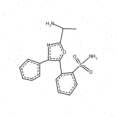 CC(N)c1nc(-c2ccccc2)c(-c2ccccc2S(N)(=O)=O)o1